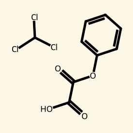 ClC(Cl)Cl.O=C(O)C(=O)Oc1ccccc1